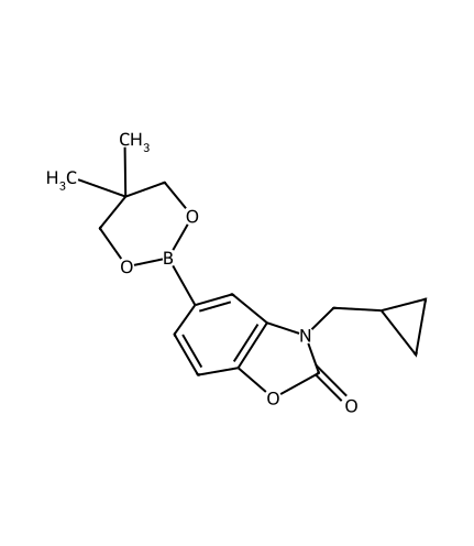 CC1(C)COB(c2ccc3oc(=O)n(CC4CC4)c3c2)OC1